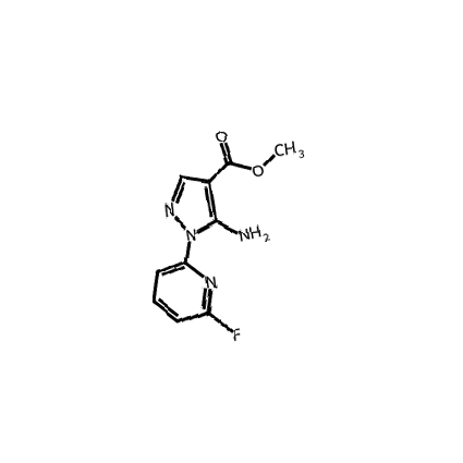 COC(=O)c1cnn(-c2cccc(F)n2)c1N